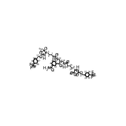 COC(=O)[C@H](CCCCC(=O)NCN(CNC(=O)CCCC[C@H](NC(=O)OCc1ccc(C(F)(F)F)cc1)C(=O)OC)C(=O)c1cccc(C(N)=O)c1)NC(=O)OCc1ccc(C(F)(F)F)cc1